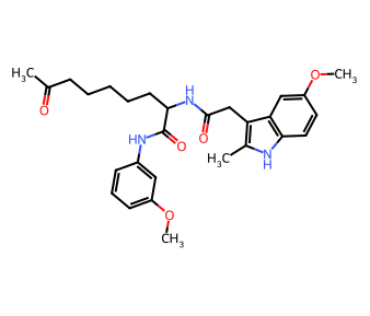 COc1cccc(NC(=O)C(CCCCCC(C)=O)NC(=O)Cc2c(C)[nH]c3ccc(OC)cc23)c1